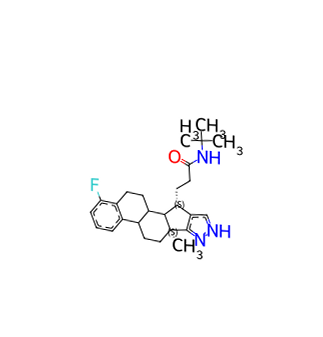 CC(C)(C)NC(=O)CC[C@@H]1c2c[nH]nc2[C@@]2(C)CCC3c4cccc(F)c4CCC3C12